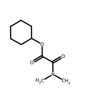 CN(C)C(=O)C(=O)OC1CCCCC1